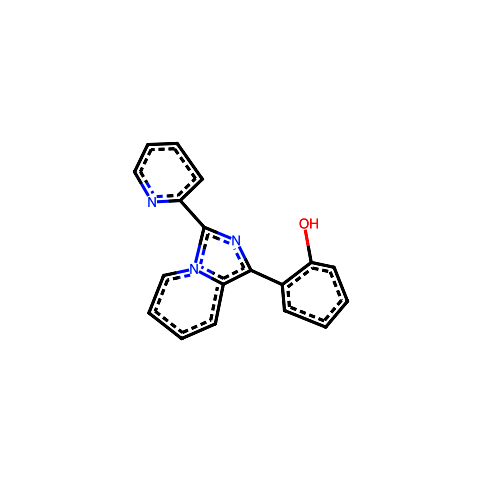 Oc1ccccc1-c1nc(-c2ccccn2)n2ccccc12